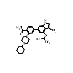 CC(Oc1cc(-c2ccc(C(N)=O)c(N3CCN(C4CCCCC4)CC3)c2)cc2[nH]nc(N)c12)C(F)(F)F